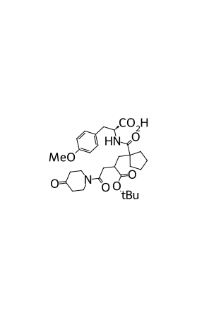 COc1ccc(C[C@H](NC(=O)C2(CC(CC(=O)N3CCC(=O)CC3)C(=O)OC(C)(C)C)CCCC2)C(=O)O)cc1